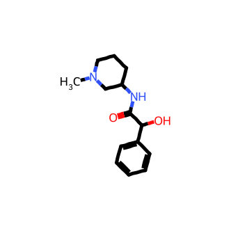 CN1CCCC(NC(=O)C(O)c2ccccc2)C1